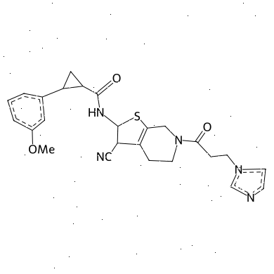 COc1cccc(C2CC2C(=O)NC2SC3=C(CCN(C(=O)CCn4ccnc4)C3)C2C#N)c1